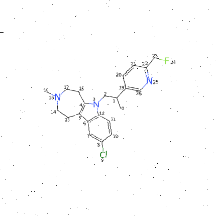 CC(Cn1c2c(c3cc(Cl)ccc31)CCN(C)CC2)c1ccc(CF)nc1